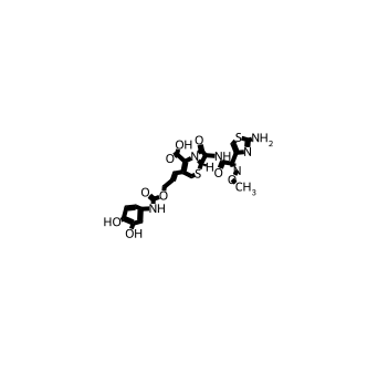 CO/N=C(\C(=O)NC1C(=O)N2C(C(=O)O)=C(/C=C/COC(=O)Nc3ccc(O)c(O)c3)CS[C@@H]12)c1csc(N)n1